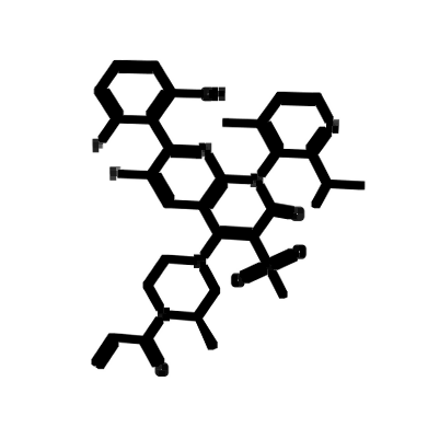 C=CC(=O)N1CCN(c2c(S(C)(=O)=O)c(=O)n(-c3c(C)ccnc3C(C)C)c3nc(-c4c(O)cccc4F)c(F)cc23)C[C@H]1C